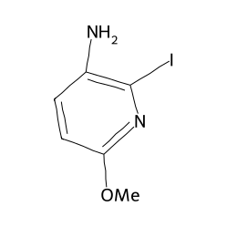 COc1ccc(N)c(I)n1